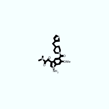 COc1cc2c(cc1C(=O)N1CCC(Cc3ccsc3)CC1)c(C(=O)C(=O)N(C)C)cn2N